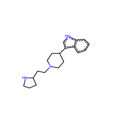 c1ccc2c(C3CCN(CCC4CCCN4)CC3)c[nH]c2c1